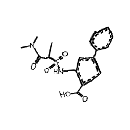 CC(C(=O)N(C)C)S(=O)(=O)Nc1cc(-c2ccccc2)ccc1C(=O)O